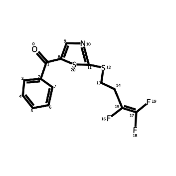 O=C(c1ccccc1)c1cnc(SCCC(F)=C(F)F)s1